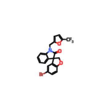 O=C1N(Cc2ccc(C(F)(F)F)o2)c2ccccc2C12COc1ccc(Br)cc12